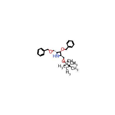 CC(C)(C)[Si](C)(C)OC[C@H]1N[C@H](COCc2ccccc2)[C@H]1OCc1ccccc1